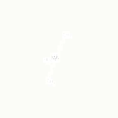 Br.CCCCCCCCCCCCC(CCCCCCCCCCC)N(C)C